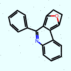 c1ccc(-c2nc3ccccc3c3c4oc(c23)CC4)cc1